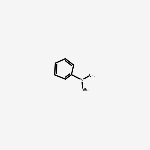 CCCCN(c1ccccc1)C(F)(F)F